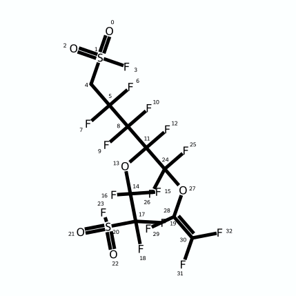 O=S(=O)(F)CC(F)(F)C(F)(F)C(F)(OC(F)(F)C(F)(F)S(=O)(=O)F)C(F)(F)OC(F)=C(F)F